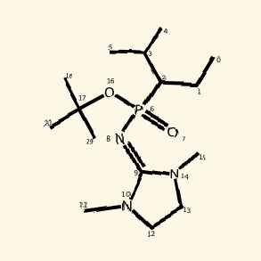 CCC(C(C)C)P(=O)(N=C1N(C)CCN1C)OC(C)(C)C